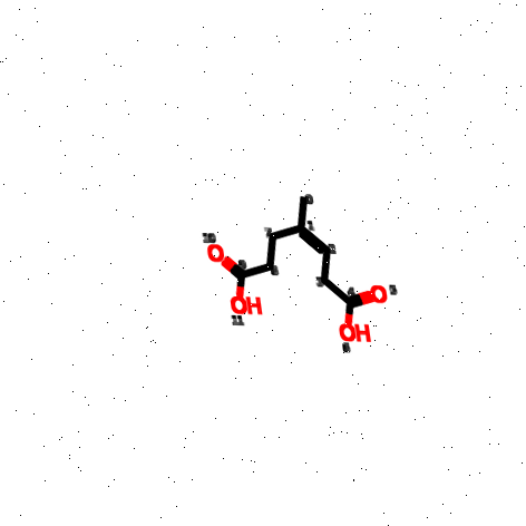 CC(=CCC(=O)O)CCC(=O)O